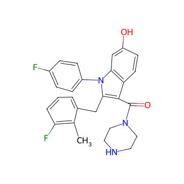 Cc1c(F)cccc1Cc1c(C(=O)N2CCNCC2)c2ccc(O)cc2n1-c1ccc(F)cc1